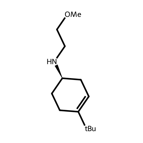 COCCN[C@H]1CC=C(C(C)(C)C)CC1